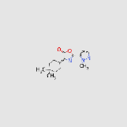 Cn1nccc1C1=NC(=C2CCC(C)(C)CC2)C(=O)O1